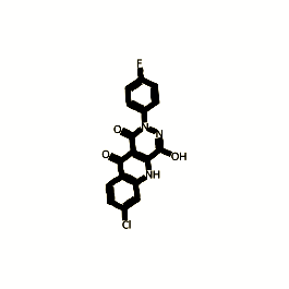 O=c1c2ccc(Cl)cc2[nH]c2c(O)nn(-c3ccc(F)cc3)c(=O)c12